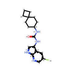 O=C(Nc1c[nH]c2ncc(F)cc12)NC1CCC2(CCC2)CC1